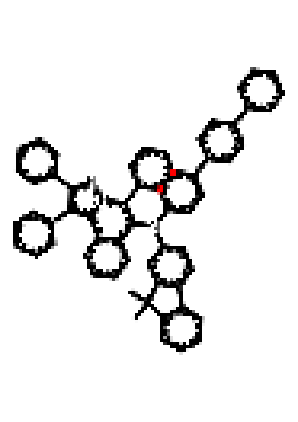 CC1(C)c2ccccc2-c2ccc(N(c3ccc(-c4ccc(-c5ccccc5)cc4)cc3)c3c(-c4ccccc4)n4nc(-c5ccccc5)c(-c5ccccc5)c4c4ccccc34)cc21